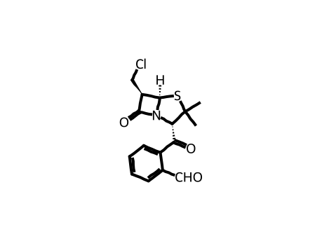 CC1(C)S[C@@H]2[C@H](CCl)C(=O)N2[C@H]1C(=O)c1ccccc1C=O